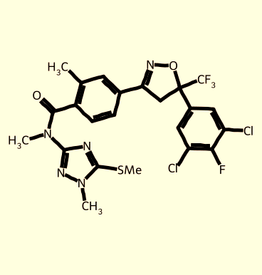 CSc1nc(N(C)C(=O)c2ccc(C3=NOC(c4cc(Cl)c(F)c(Cl)c4)(C(F)(F)F)C3)cc2C)nn1C